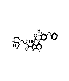 Cc1cc(Oc2ccccc2)ccc1N1C(=O)Nc2c(C(=O)NCCN3CCOCC3C)sc3nccc1c23